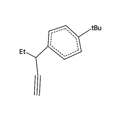 [C]#CC(CC)c1ccc(C(C)(C)C)cc1